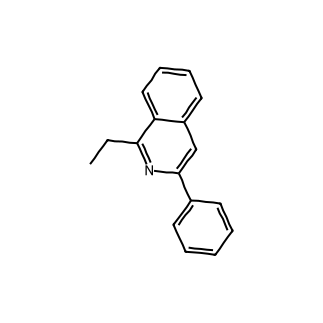 CCc1nc(-c2ccccc2)cc2ccccc12